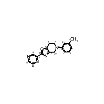 Cc1cccc(N2CCc3oc(-c4cnccn4)nc3C2)c1